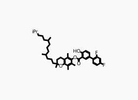 Cc1c(C)c2c(c(C)c1OC(=O)c1cc(-c3ccc(F)cc3F)ccc1O)CCC(C)(CCCC(C)CCCC(C)CCCC(C)C)O2